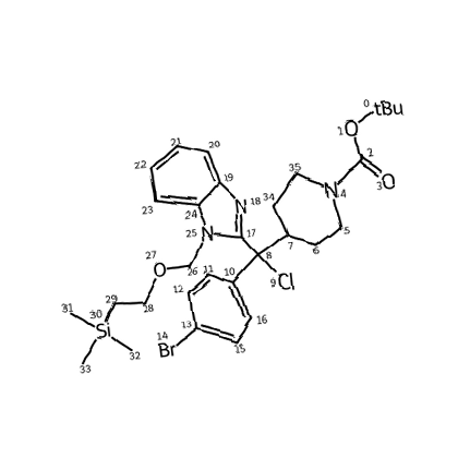 CC(C)(C)OC(=O)N1CCC(C(Cl)(c2ccc(Br)cc2)c2nc3ccccc3n2COCC[Si](C)(C)C)CC1